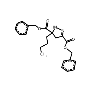 CCCCC1(C(=O)OCc2ccccc2)CC(C(=O)OCc2ccccc2)=NN1